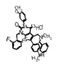 CNc1ccc(-c2sc3c(c2CN(C)Cc2ccccc2)c(=O)n(-c2cccc(OC)c2)c(=O)n3Cc2c(F)cccc2F)cc1.Cl